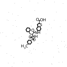 Cc1ccc(S(=O)(=O)NC(Cc2ccccc2)C(=O)Nc2ccc3sc(C(=O)O)cc3c2)cc1